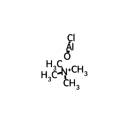 C[N+](C)(C)C.[O]=[Al][Cl]